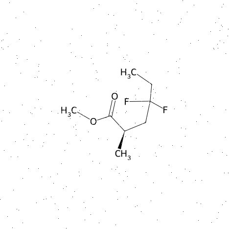 CCC(F)(F)C[C@@H](C)C(=O)OC